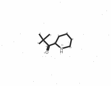 CC(C)(C)C(=O)C1CCCCN1